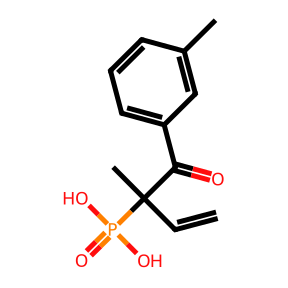 C=CC(C)(C(=O)c1cccc(C)c1)P(=O)(O)O